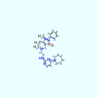 Cc1c(CN(C)CCNc2nccc(N3CCCCCC3)n2)c(=O)n(-c2ccccc2)n1C